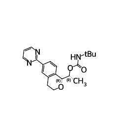 C[C@@H](OC(=O)NC(C)(C)C)[C@@H]1OCCc2cc(-c3ncccn3)ccc21